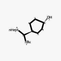 CCCCCCCC(CCCC)[C@H]1CC[C@H](O)CC1